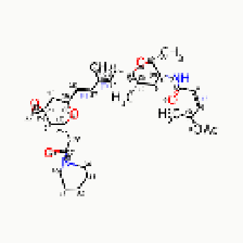 CC(=O)O[C@@H](C)/C=C\C(=O)N[C@@H]1C[C@H](C)[C@H](C/C=C(C)/C=C/[C@@H]2C[C@]3(CO3)C[C@@H](CC(=O)N3CCCCC3)O2)O[C@@H]1C